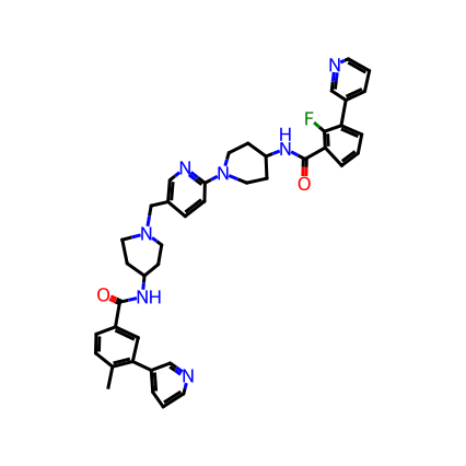 Cc1ccc(C(=O)NC2CCN(Cc3ccc(N4CCC(NC(=O)c5cccc(-c6cccnc6)c5F)CC4)nc3)CC2)cc1-c1cccnc1